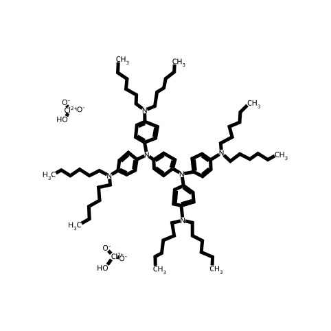 CCCCCCN(CCCCCC)c1ccc(N(c2ccc(N(CCCCCC)CCCCCC)cc2)c2ccc(N(c3ccc(N(CCCCCC)CCCCCC)cc3)c3ccc(N(CCCCCC)CCCCCC)cc3)cc2)cc1.[O-][Cl+2]([O-])O.[O-][Cl+2]([O-])O